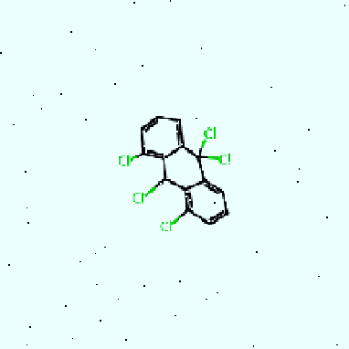 Clc1cccc2c1C(Cl)c1c(Cl)cccc1C2(Cl)Cl